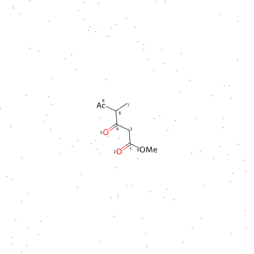 COC(=O)CC(=O)C(C)C(C)=O